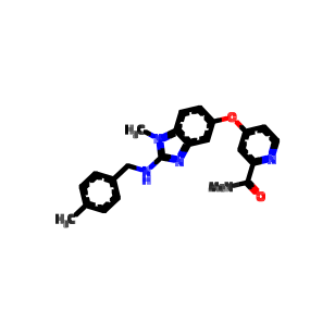 CNC(=O)c1cc(Oc2ccc3c(c2)nc(NCc2ccc(C)cc2)n3C)ccn1